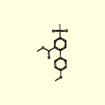 COC(=O)c1cc(S(C)(=O)=O)ccc1-c1ccc(OC)cc1